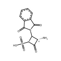 N[C@@H]1C(=O)N(S(=O)(=O)O)C1N1C(=O)c2ccccc2C1=O